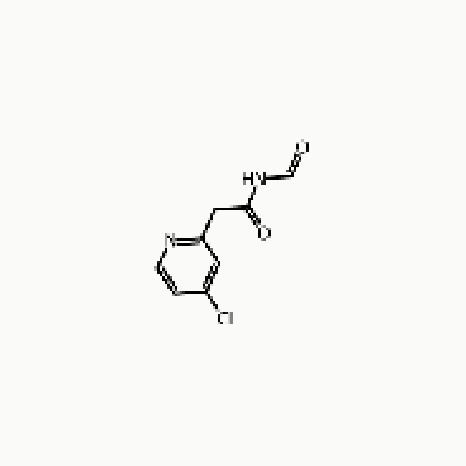 O=CNC(=O)Cc1cc(Cl)ccn1